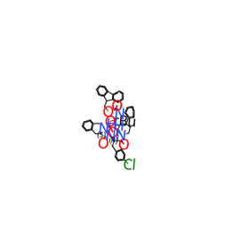 CC(C)(C)OC(=O)N1Cc2ccccc2C[C@H]1C(=O)N[C@H](Cc1ccc(Cl)cc1)C(=O)N1CCC(c2ccccc2NC(=O)OCC2c3ccccc3-c3ccccc32)CC1